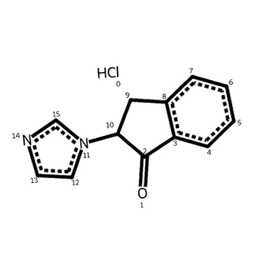 Cl.O=C1c2ccccc2CC1n1ccnc1